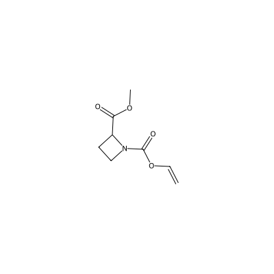 C=COC(=O)N1CCC1C(=O)OC